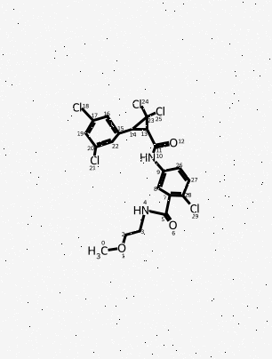 COCCNC(=O)c1cc(NC(=O)C2C(c3cc(Cl)cc(Cl)c3)C2(Cl)Cl)ccc1Cl